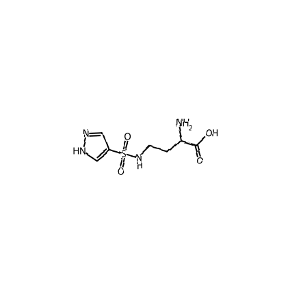 NC(CCNS(=O)(=O)c1cn[nH]c1)C(=O)O